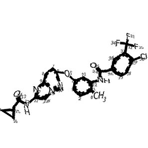 Cc1ccc(Oc2ccc3nc(NC(=O)C4CC4)cn3n2)cc1NC(=O)c1ccc(Cl)c(C(F)(F)F)c1